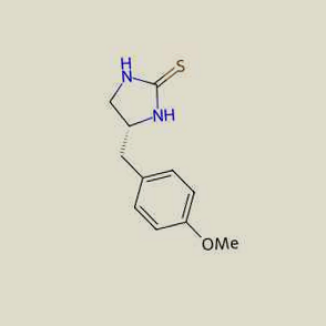 COc1ccc(C[C@@H]2CNC(=S)N2)cc1